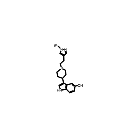 CC(C)n1cc(CCN2CCC(c3c[nH]c4ccc(O)cc34)CC2)cn1